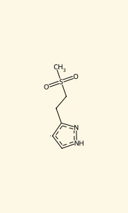 CS(=O)(=O)CCc1[c]c[nH]n1